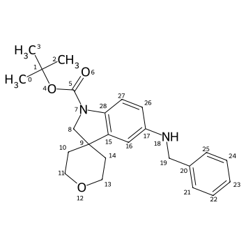 CC(C)(C)OC(=O)N1CC2(CCOCC2)c2cc(NCc3ccccc3)ccc21